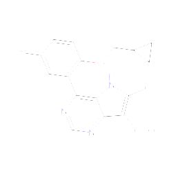 CCc1ccc(OCC2CC2)c(-c2ncnc3c([C]=O)c(C)[nH]c23)c1